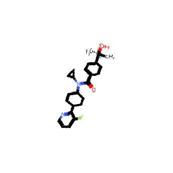 C[C@](O)(c1ccc(C(=O)N(C2CCC(c3ncccc3F)CC2)C2CC2)cc1)C(F)(F)F